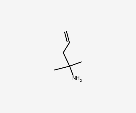 [CH]=CCC(C)(C)N